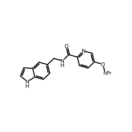 CCCOc1ccc(C(=O)NCc2ccc3[nH]ccc3c2)nc1